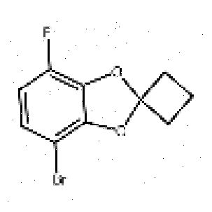 Fc1ccc(Br)c2c1OC1(CCC1)O2